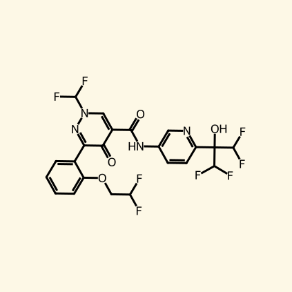 O=C(Nc1ccc(C(O)(C(F)F)C(F)F)nc1)c1cn(C(F)F)nc(-c2ccccc2OCC(F)F)c1=O